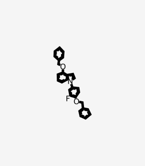 Fc1cc(-n2ccc3c(OCc4ccccc4)cccc32)ccc1OCc1ccccc1